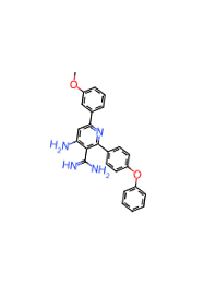 COc1cccc(-c2cc(N)c(C(=N)N)c(-c3ccc(Oc4ccccc4)cc3)n2)c1